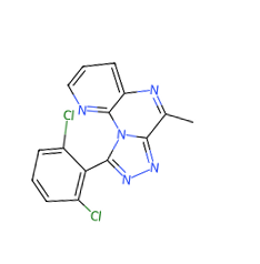 Cc1nc2cccnc2n2c(-c3c(Cl)cccc3Cl)nnc12